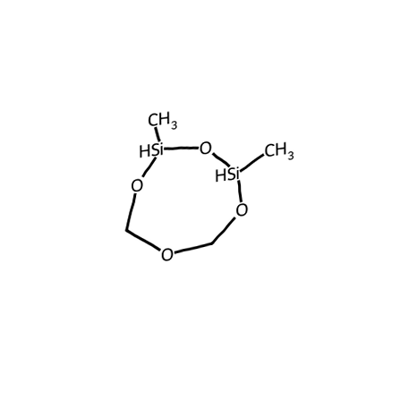 C[SiH]1OCOCO[SiH](C)O1